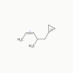 C/C=C\C(C)CC1=CC1